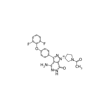 CC(=O)N1CC[C@@H](n2nc(-c3ccc(Oc4c(F)cccc4F)cc3)c3c(N)n[nH]c(=O)c32)C1